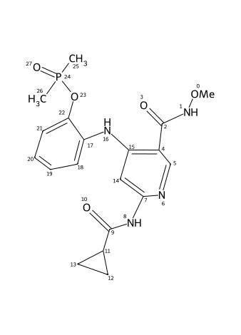 CONC(=O)c1cnc(NC(=O)C2CC2)cc1Nc1ccccc1OP(C)(C)=O